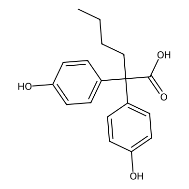 CCCCC(C(=O)O)(c1ccc(O)cc1)c1ccc(O)cc1